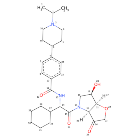 CC(C)N1CCC(c2ccc(C(=O)N[C@H](C(=O)N3C[C@@H](O)[C@H]4OCC(=O)[C@H]43)C3CCCCC3)cc2)CC1